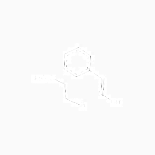 CCOC(=O)CCC(C)C.O/N=C/c1ccccc1